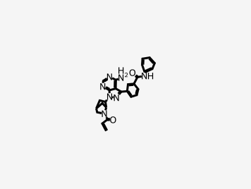 C=CC(=O)N1CC2CC1C(n1nc(-c3cccc(C(=O)Nc4ccccc4)c3)c3c(N)ncnc31)C2